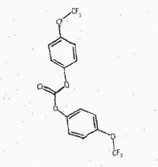 O=C(Oc1ccc(OC(F)(F)F)cc1)Oc1ccc(OC(F)(F)F)cc1